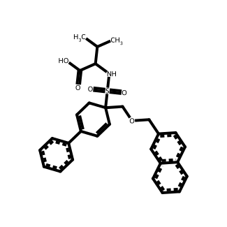 CC(C)C(NS(=O)(=O)C1(COCc2ccc3ccccc3c2)C=CC(c2ccccc2)=CC1)C(=O)O